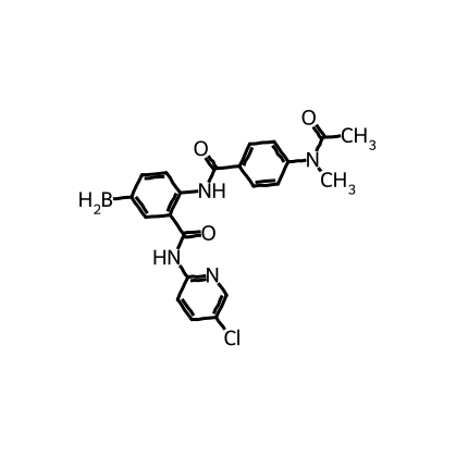 Bc1ccc(NC(=O)c2ccc(N(C)C(C)=O)cc2)c(C(=O)Nc2ccc(Cl)cn2)c1